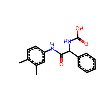 Cc1ccc(NC(=O)C(NC(=O)O)c2ccccc2)cc1C